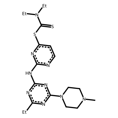 CCc1nc(Nc2nccc(SC(=S)N(CC)CC)n2)nc(N2CCN(C)CC2)n1